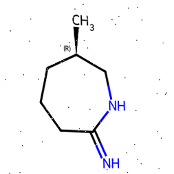 C[C@@H]1CCCC(=N)NC1